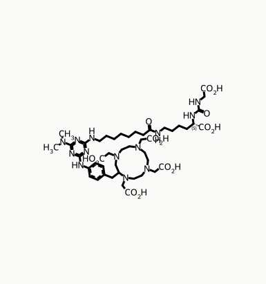 CN(C)c1nc(NCCCCCCCC(=O)NCCCC[C@H](NC(=O)NCC(=O)O)C(=O)O)nc(Nc2ccc(CC3CN(CC(=O)O)CCN(CC(=O)O)CCN(CC(=O)O)CCN3CC(=O)O)cc2)n1